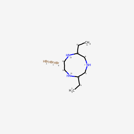 Br.Br.Br.CCC1CNCC(CC)NCCN1